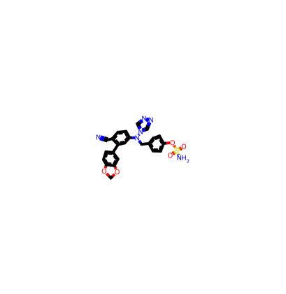 N#Cc1ccc(N(Cc2ccc(OS(N)(=O)=O)cc2)n2cnnc2)cc1-c1ccc2c(c1)OCO2